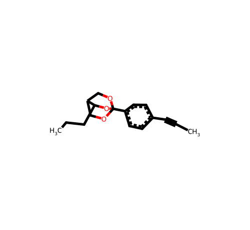 CC#Cc1ccc(C23OCC(CO2)C(CCC)O3)cc1